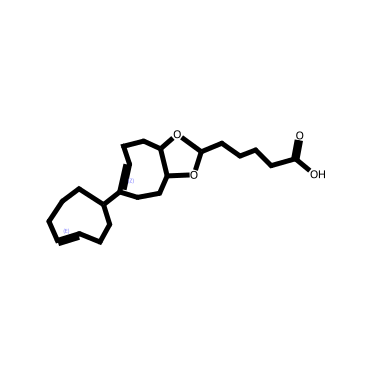 O=C(O)CCCCC1OC2CC/C=C(\C3CC/C=C/CCC3)CCC2O1